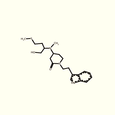 CSCCC(CO)N(C)C1CCN(CCc2c[nH]c3ccccc23)C(=O)C1